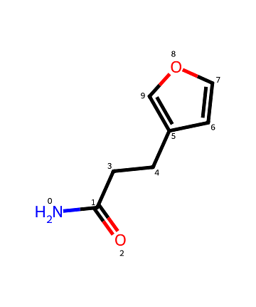 NC(=O)CCc1ccoc1